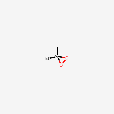 CC[Si]1(C)OO1